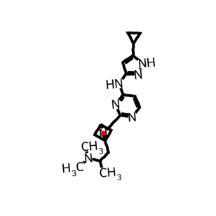 CC(CC12CC(C1)N(c1nccc(Nc3cc(C4CC4)[nH]n3)n1)C2)N(C)C